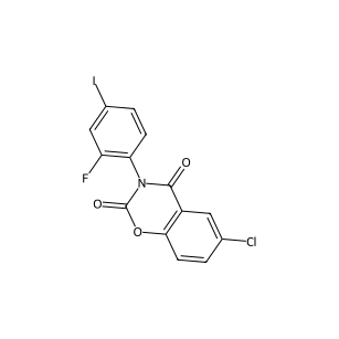 O=c1oc2ccc(Cl)cc2c(=O)n1-c1ccc(I)cc1F